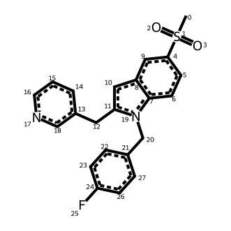 CS(=O)(=O)c1ccc2c(c1)cc(Cc1cccnc1)n2Cc1ccc(F)cc1